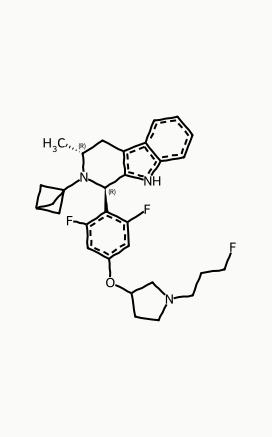 C[C@@H]1Cc2c([nH]c3ccccc23)[C@@H](c2c(F)cc(OC3CCN(CCCF)C3)cc2F)N1C12CC(C1)C2